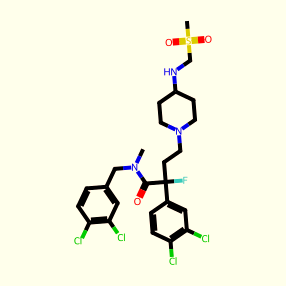 CN(Cc1ccc(Cl)c(Cl)c1)C(=O)C(F)(CCN1CCC(NCS(C)(=O)=O)CC1)c1ccc(Cl)c(Cl)c1